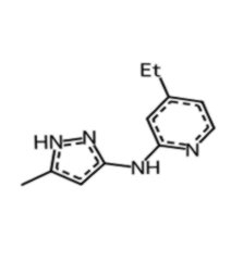 CCc1ccnc(Nc2cc(C)[nH]n2)c1